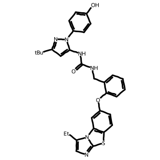 CCc1cnc2sc3ccc(Oc4ccccc4CNC(=O)Nc4cc(C(C)(C)C)nn4-c4ccc(O)cc4)cc3n12